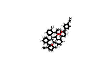 N#Cc1ccc(Nc2ncc(-c3ccccc3Cl)c(C(=NN(C(N)=O)c3ccccc3O)c3nc(Nc4ccc(C#N)cc4)ncc3-c3ccccc3Cl)n2)cc1